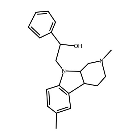 Cc1ccc2c(c1)C1CCN(C)CC1N2CC(O)c1ccccc1